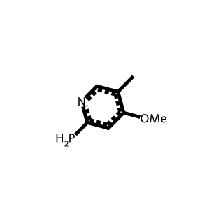 COc1cc(P)ncc1C